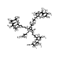 CNCCOCCNc1c(C(=O)NCCCCC(NC(C)=O)C(=O)NC(C)C(=O)NC(C)C(=O)O)cc(C(=O)NCCCCC(NC(C)=O)C(=O)NC(C)C(=O)NC(C)C(=O)O)cc1C(=O)NCCCCC(NC(C)=O)C(=O)NC(C)C(=O)NC(C)C(=O)O